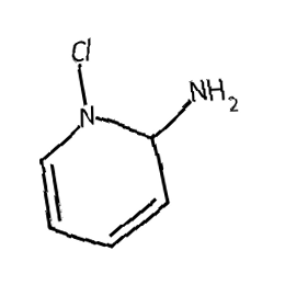 NC1C=CC=CN1Cl